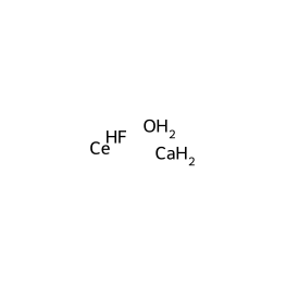 F.O.[CaH2].[Ce]